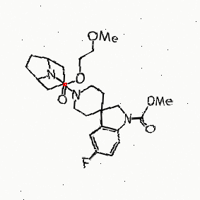 COCCOC(=O)N1C2CCC1CC(N1CCC3(CC1)CN(C(=O)OC)c1ccc(F)cc13)C2